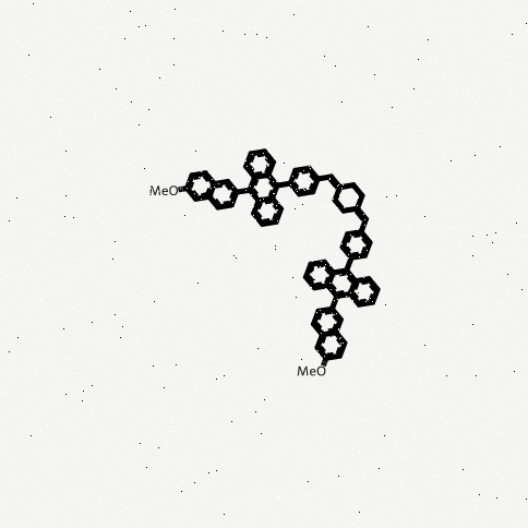 COc1ccc2cc(-c3c4ccccc4c(-c4ccc(C=C5CCC(=Cc6ccc(-c7c8ccccc8c(-c8ccc9cc(OC)ccc9c8)c8ccccc78)cc6)CC5)cc4)c4ccccc34)ccc2c1